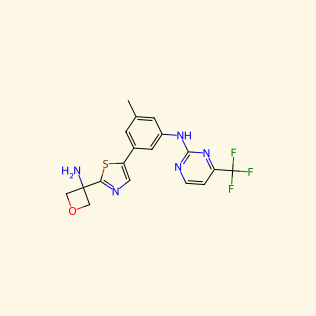 Cc1cc(Nc2nccc(C(F)(F)F)n2)cc(-c2cnc(C3(N)COC3)s2)c1